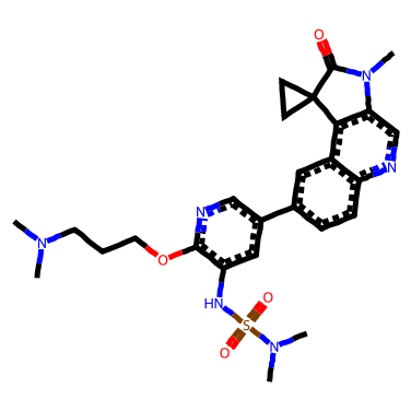 CN(C)CCCOc1ncc(-c2ccc3ncc4c(c3c2)C2(CC2)C(=O)N4C)cc1NS(=O)(=O)N(C)C